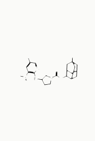 O=C(OC1C2CC3C[C@@H]1CC(O)(C3)C2)N1CCC(Nc2ncc(Cl)cc2[N+](=O)[O-])C1